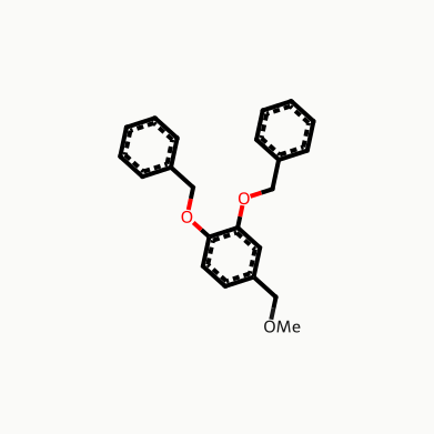 COCc1ccc(OCc2ccccc2)c(OCc2ccccc2)c1